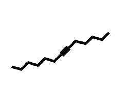 [CH2]CCCCC#CCCCCCC